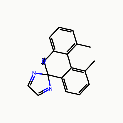 Cc1cccc2c1-c1c(C)cccc1C1(N=CC=N1)C21N=CC=N1